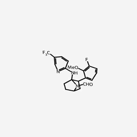 COc1c(F)cccc1C1CC2CCC1(Nc1ccc(C(F)(F)F)cn1)N2C=O